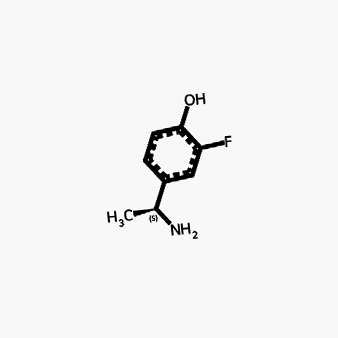 C[C@H](N)c1ccc(O)c(F)c1